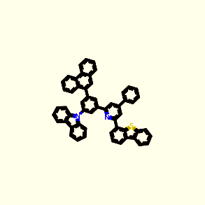 c1ccc(-c2cc(-c3cc(-c4cc5ccccc5c5ccccc45)cc(-n4c5ccccc5c5ccccc54)c3)nc(-c3cccc4c3sc3ccccc34)c2)cc1